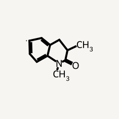 CC1Cc2c[c]ccc2N(C)C1=O